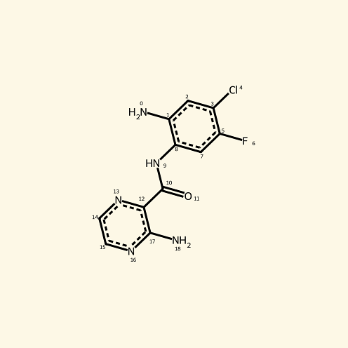 Nc1cc(Cl)c(F)cc1NC(=O)c1nccnc1N